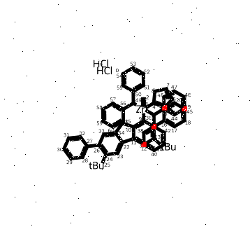 Cl.Cl.[CH2]=[Zr]([C]1=CC=CC1)([c]1c2c(cc(C(C)(C)C)c1-c1ccccc1)-c1cc(C(C)(C)C)c(-c3ccccc3)cc1C2)([CH](c1ccccc1)c1ccccc1)[CH](c1ccccc1)c1ccccc1